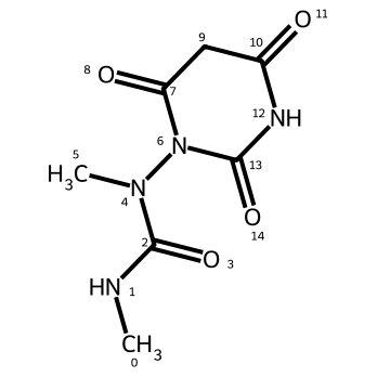 CNC(=O)N(C)N1C(=O)CC(=O)NC1=O